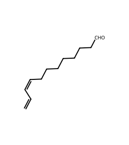 C=C/C=C\CCCCCCCC=O